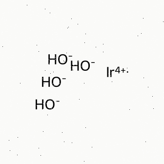 [Ir+4].[OH-].[OH-].[OH-].[OH-]